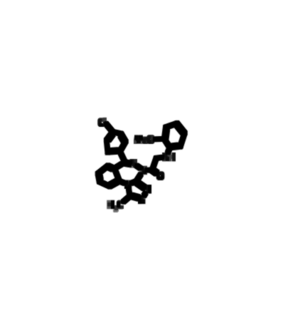 COc1ccccc1NCC(=O)N1N=C(c2ccc(Cl)cc2)c2ccccc2-n2c(C)nnc21